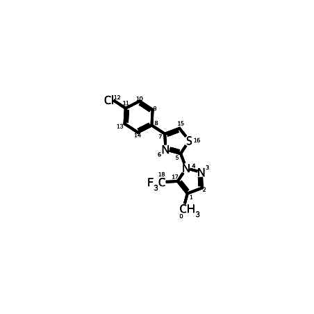 Cc1cnn(-c2nc(-c3ccc(Cl)cc3)cs2)c1C(F)(F)F